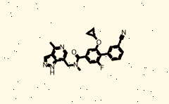 Cc1ncc(CN(C)C(=O)c2cc(F)c(-c3cccc(C#N)c3)c(OC3CC3)c2)c2[nH]ncc12